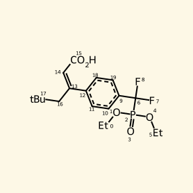 CCOP(=O)(OCC)C(F)(F)c1ccc(/C(=C\C(=O)O)CC(C)(C)C)cc1